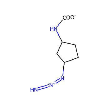 N=[N+]=NC1CCC(NC(=O)[O-])C1